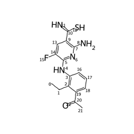 CCc1c(Nc2nc(N)c(C(=N)S)cc2F)cccc1C(C)=O